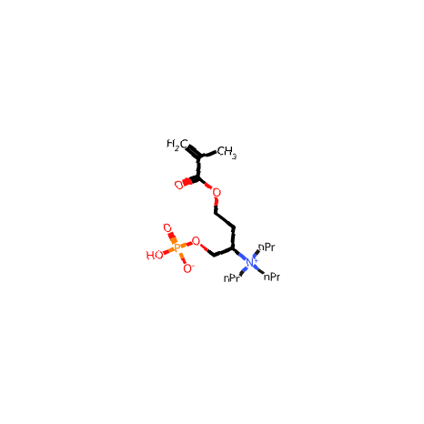 C=C(C)C(=O)OCCC(COP(=O)([O-])O)[N+](CCC)(CCC)CCC